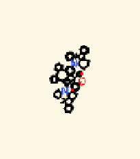 CC1(C)C2=C(CC=CC=C2N(c2ccccc2)c2cc3c4c(c2)C2(c5ccccc5Oc5ccccc52)c2cc(N(c5ccccc5)c5cccc6c5C(C)(C)c5ccccc5-6)cc(c2-4)-c2ccccc2-c2ccccc2-3)c2ccccc21